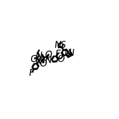 CCn1cc(C(=O)Nc2ccc(Oc3cc(-c4cncs4)cn4nccc34)c(F)c2)c(=O)n(-c2ccc(F)cc2)c1=O